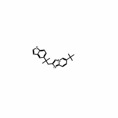 CC(C)(C)c1ccc2nc(CC(C)(C)c3ccc4sccc4c3)cn2c1